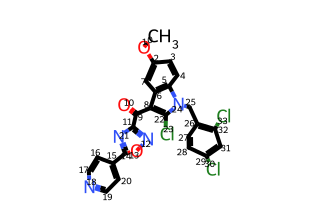 COc1ccc2c(c1)c(C(=O)c1noc(-c3ccncc3)n1)c(Cl)n2Cc1ccc(Cl)cc1Cl